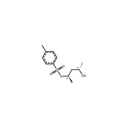 Cc1ccc(S(=O)(=O)O[C@H](C)C[C@H](C)O)cc1